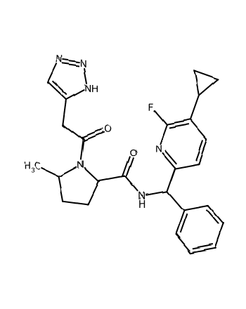 CC1CCC(C(=O)NC(c2ccccc2)c2ccc(C3CC3)c(F)n2)N1C(=O)Cc1cnn[nH]1